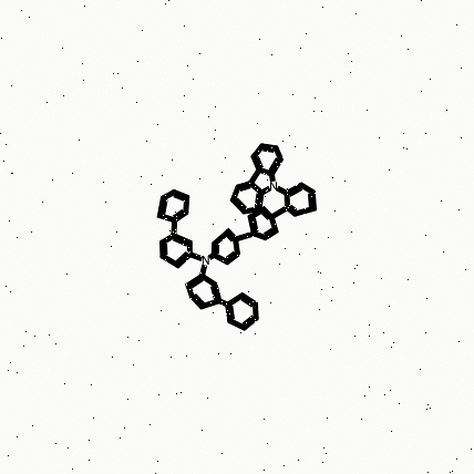 c1ccc(-c2cccc(N(c3ccc(-c4ccc(-c5ccccc5-n5c6ccccc6c6ccccc65)cc4)cc3)c3cccc(-c4ccccc4)c3)c2)cc1